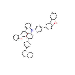 c1ccc(N(c2ccc(-c3ccc(-c4cccc5ccccc45)cc3)cc2)c2ccc(-c3ccc4oc5ccccc5c4c3)cc2)c(-c2ccc3oc4ccccc4c3c2)c1